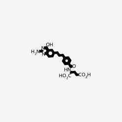 Nc1nc(O)c2c(n1)CCC(CCCc1ccc(C(=O)N[C@@H](CCC(=O)O)C(=O)O)cc1)C2